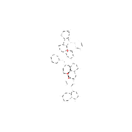 C1=CCC(n2c3ccccc3c3ccccc32)C(c2ccc(N(c3ccccc3)c3ccc(C4C=CC(c5cccc6ccccc56)=CC4)cc3)c(-c3ccc4ccccc4c3)c2)=C1